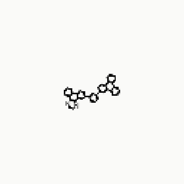 C1=Nc2c(c3cc(-c4cccc(-c5ccc6c7ccccc7c7ccccc7c6c5)c4)ccc3c3ccccc23)NC1